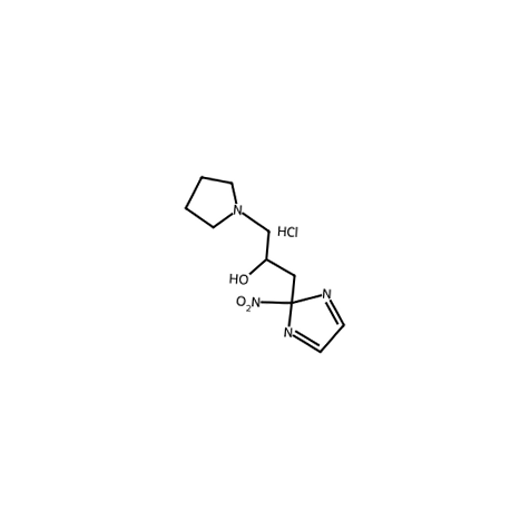 Cl.O=[N+]([O-])C1(CC(O)CN2CCCC2)N=CC=N1